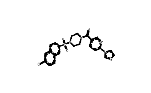 O=C(c1ccc(-n2ccnc2)nc1)N1CCN(S(=O)(=O)c2ccc3cc(Cl)ccc3c2)CC1